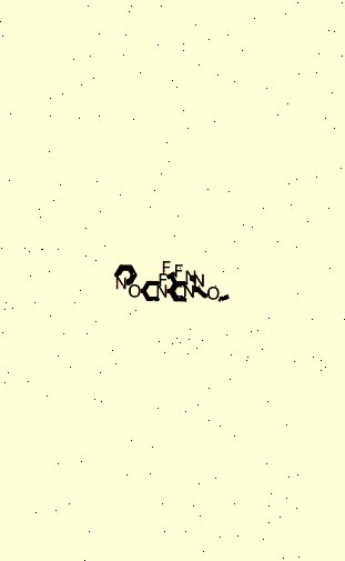 CCOCc1nnc2c(C(F)(F)F)c(N3CCC(Oc4ccccn4)CC3)ccn12